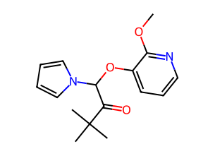 COc1ncccc1OC(C(=O)C(C)(C)C)n1cccc1